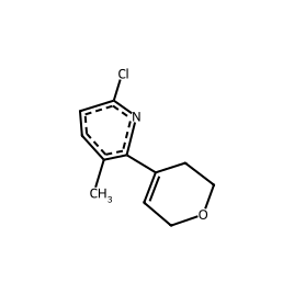 Cc1ccc(Cl)nc1C1=CCOCC1